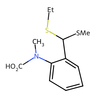 CCSC(SC)c1ccccc1N(C)C(=O)O